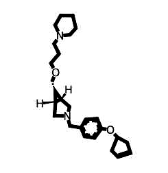 C1=CCC(Oc2ccc(CN3C[C@@H]4[C@H](COCCCN5CCCCC5)[C@@H]4C3)cc2)C1